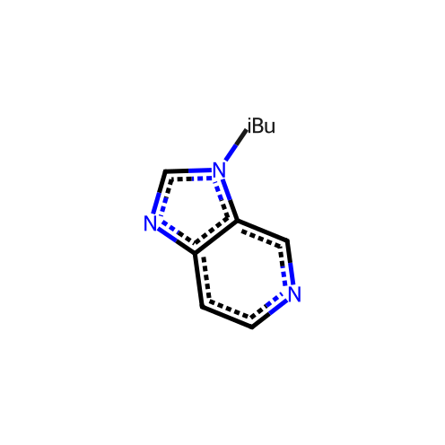 CCC(C)n1cnc2ccncc21